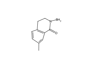 BN1CCc2ccc(C)cc2C1=O